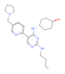 CCCCNc1ncc(-c2ccc(CN3CCCC3)cn2)c(N[C@H]2CC[C@H](O)CC2)n1